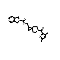 Cc1cc(C)c(C(=O)N2CCC3(CC2)CC3CNC(=O)N2Cc3ccncc3C2)o1